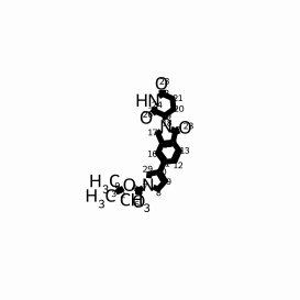 CC(C)(C)OC(=O)N1CC=C(c2ccc3c(c2)CN(C2CCC(=O)NC2=O)C3=O)C1